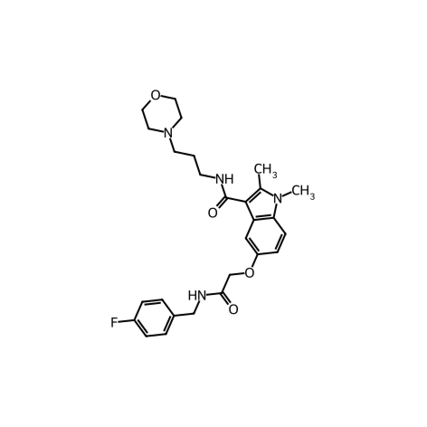 Cc1c(C(=O)NCCCN2CCOCC2)c2cc(OCC(=O)NCc3ccc(F)cc3)ccc2n1C